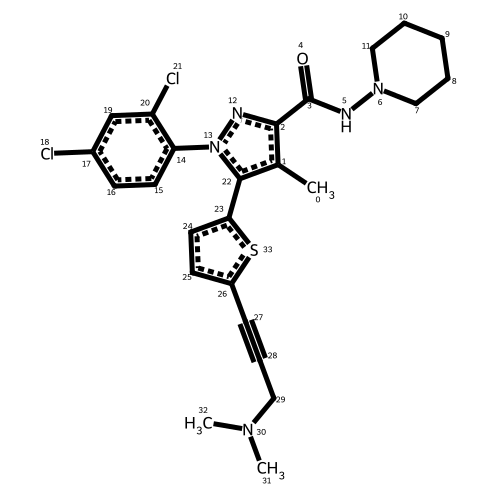 Cc1c(C(=O)NN2CCCCC2)nn(-c2ccc(Cl)cc2Cl)c1-c1ccc(C#CCN(C)C)s1